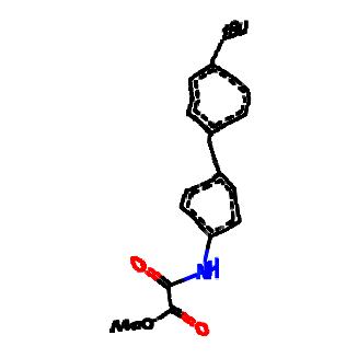 COC(=O)C(=O)Nc1ccc(-c2ccc(C(C)(C)C)cc2)cc1